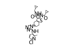 Cc1nc(Cl)ccc1Nc1nncn1[C@H]1CCc2sc(NC(=O)C3CC3)c(C(=O)NCC3CC3)c2C1